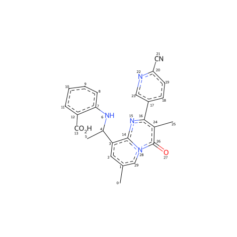 Cc1cc(C(C)Nc2ccccc2C(=O)O)c2nc(-c3ccc(C#N)nc3)c(C)c(=O)n2c1